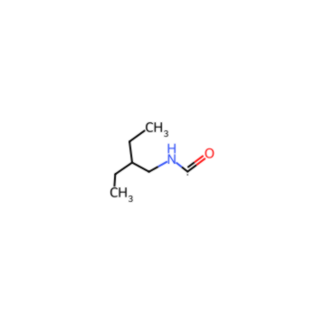 CCC(CC)CN[C]=O